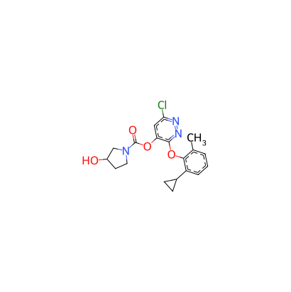 Cc1cccc(C2CC2)c1Oc1nnc(Cl)cc1OC(=O)N1CCC(O)C1